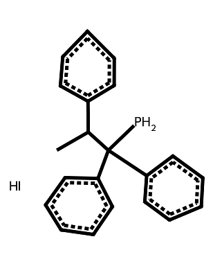 CC(c1ccccc1)C(P)(c1ccccc1)c1ccccc1.I